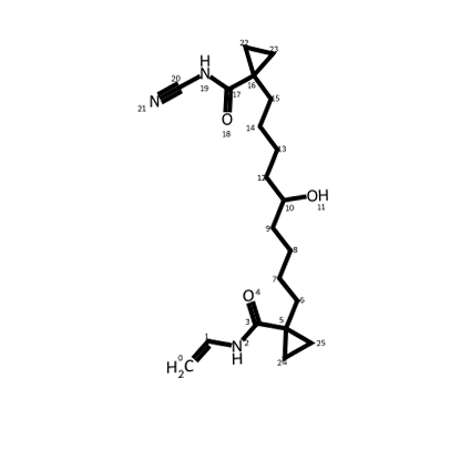 C=CNC(=O)C1(CCCCC(O)CCCCC2(C(=O)NC#N)CC2)CC1